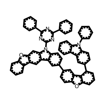 c1ccc(-c2nc(-c3ccccc3)nc(-n3c4ccc(-c5ccc6oc7cccc(-c8ccc9c(c8)c8ccccc8n9-c8ccccc8)c7c6c5)cc4c4cc5c(cc43)oc3ccccc35)n2)cc1